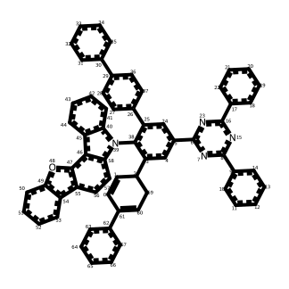 C1=CC(c2cc(-c3nc(-c4ccccc4)nc(-c4ccccc4)n3)cc(-c3ccc(-c4ccccc4)cc3)c2-n2c3ccccc3c3c4oc5ccccc5c4ccc32)CC=C1c1ccccc1